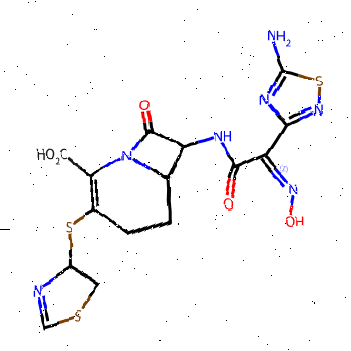 Nc1nc(/C(=N/O)C(=O)NC2C(=O)N3C(C(=O)O)=C(SC4CSC=N4)CCC23)ns1